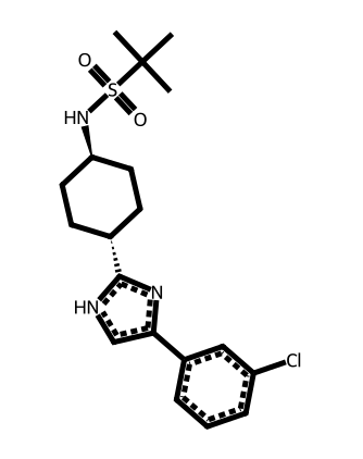 CC(C)(C)S(=O)(=O)N[C@H]1CC[C@H](c2nc(-c3cccc(Cl)c3)c[nH]2)CC1